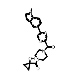 Cn1ccc2cc(-c3cnc(C(=O)N4CCN(C(=O)C5(O)CC5)CC4)cn3)ccc21